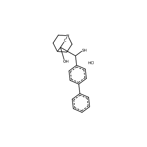 Cl.OC1(C(S)c2ccc(-c3ccccc3)cc2)CN2CCC1CC2